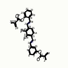 C=C(C)C(=O)Oc1cccc(/C=C/c2ccc(/C=C/c3ccccc3OC(=O)C(=C)C)c(F)c2F)c1